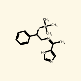 CC(=NCC(O[Si](C)(C)C)c1ccccc1)c1cnc[nH]1